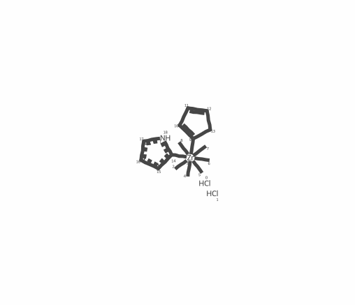 Cl.Cl.[CH3][Zr]([CH3])([CH3])([CH3])([CH3])([CH3])([C]1=CC=CC1)[c]1ccc[nH]1